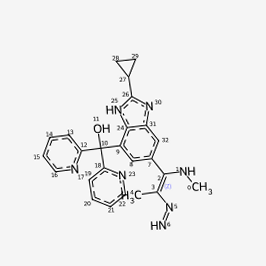 CN/C(=C(/C)N=N)c1cc(C(O)(c2ccccn2)c2ccccn2)c2[nH]c(C3CC3)nc2c1